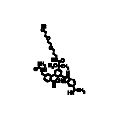 CCOCCOCCOCCCNC(=O)C(C)(C)c1cc(-c2nc3cc(C(=N)N)ccc3[nH]2)c(O)c(-c2cc(CNC(N)=O)ccc2O)c1